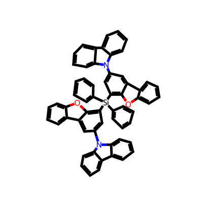 c1ccc([Si](c2ccccc2)(c2cc(-n3c4ccccc4c4ccccc43)cc3c2oc2ccccc23)c2cc(-n3c4ccccc4c4ccccc43)cc3c2oc2ccccc23)cc1